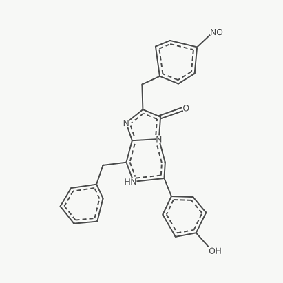 O=Nc1ccc(Cc2nc3c(Cc4ccccc4)[nH]c(-c4ccc(O)cc4)cn-3c2=O)cc1